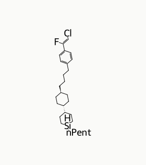 CCCCC[SiH]1CCC([C@H]2CC[C@H](CCCCc3ccc(/C(F)=C/Cl)cc3)CC2)CC1